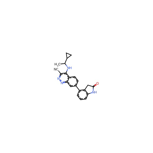 CC(Nc1c(C#N)nnc2cc(-c3cccc4c3CC(=O)N4)ccc12)C1CC1